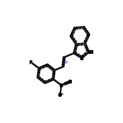 O=[N+]([O-])c1ccc(F)cc1/C=C/c1n[nH]c2ccccc12